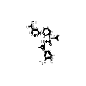 Cc1cc([C@@H]2C[C@H]2NC(=O)N(C2CC2)[C@@H]2CCCN(c3cc(C(=O)O)cnn3)C2)ccc1Cl